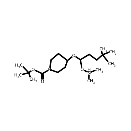 C[SiH](C)OC(CCC(C)(C)C)OC1CCN(C(=O)OC(C)(C)C)CC1